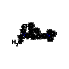 C=Cc1ccc(N(c2cccc(C=C)c2)c2ccc3c(c2)C(CCCc2ccccc2)(CCCc2ccccc2)c2cc(-c4ccc(-c5ccc(N(c6ccccc6)c6cccc7ccccc67)cc5)cc4)ccc2-3)cc1